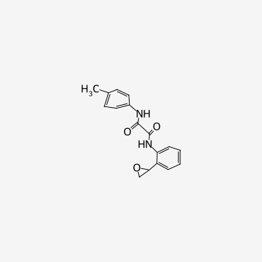 Cc1ccc(NC(=O)C(=O)Nc2ccccc2C2CO2)cc1